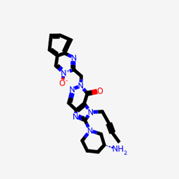 CC#CCn1c(N2CCC[C@@H](N)C2)nc2cnn(Cc3nc4ccccc4c[n+]3[O-])c(=O)c21